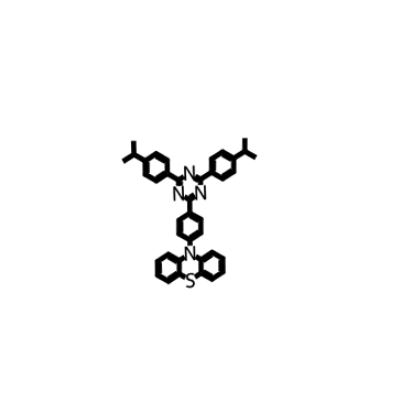 CC(C)c1ccc(-c2nc(-c3ccc(C(C)C)cc3)nc(-c3ccc(N4c5ccccc5Sc5ccccc54)cc3)n2)cc1